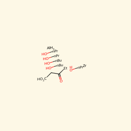 CCC(=O)CC(=O)O.CCCCO.CCCCO.CCCO.CCCO.CCCO.[AlH3].[Zr]